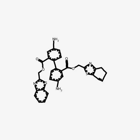 Nc1ccc(-c2ccc(N)cc2C(=O)OCc2nc3ccccc3s2)c(C(=O)OCc2nc3c(s2)C=CCC3)c1